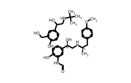 CC(C)(C)NCC(O)c1ccc(O)c(CO)c1.COc1ccc(C[C@@H](C)NC[C@H](O)c2ccc(O)c(NC=O)c2)cc1